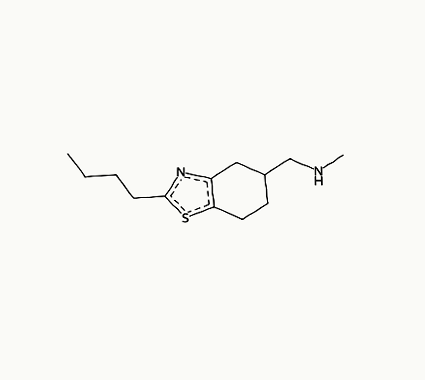 CCCCc1nc2c(s1)CCC(CNC)C2